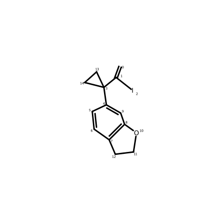 C=C(I)C1(c2ccc3c(c2)OCC3)CC1